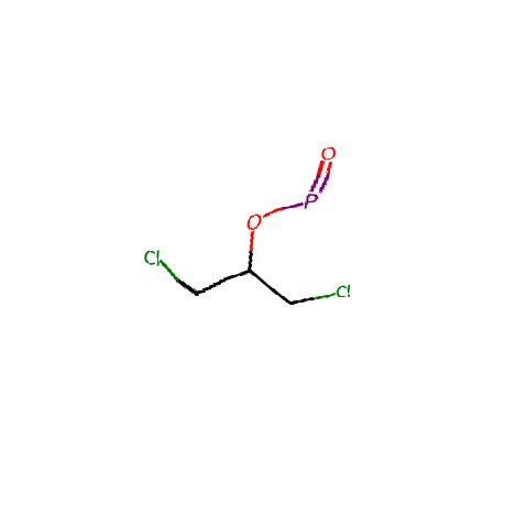 O=POC(CCl)CCl